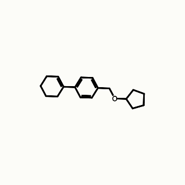 C1=C(c2ccc(COC3CCCC3)cc2)CCCC1